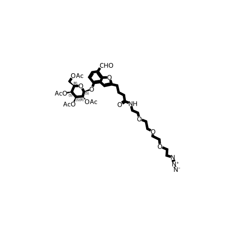 CC(=O)OC[C@H]1O[C@@H](Oc2ccc(C=O)c3oc(CCCC(=O)NCCOCCOCCOCCN=[N+]=[N-])cc23)[C@H](OC(C)=O)[C@@H](OC(C)=O)[C@H]1OC(C)=O